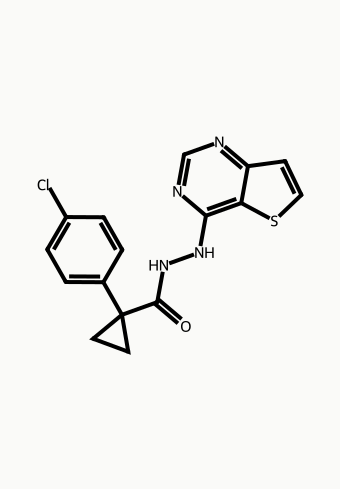 O=C(NNc1ncnc2ccsc12)C1(c2ccc(Cl)cc2)CC1